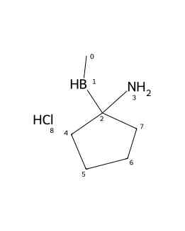 CBC1(N)CCCC1.Cl